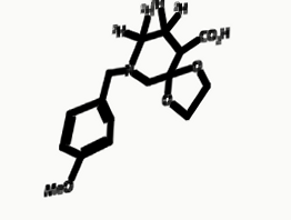 [2H]C1([2H])C(C(=O)O)C2(CN(Cc3ccc(OC)cc3)C1([2H])[2H])OCCO2